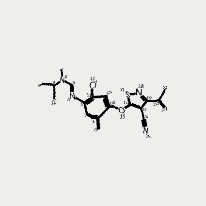 Cc1cc(N=CN(C)C(C)C)c(Cl)cc1Oc1snc(C(C)C)c1C#N